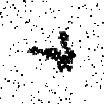 Cc1nn(COCC[Si](C)(C)C)c(C)c1-c1ccc(NC(=O)[C@@H](NC(=O)c2nonc2CCCOCc2ccccc2)C(C2CC2)C2CC2)nc1F